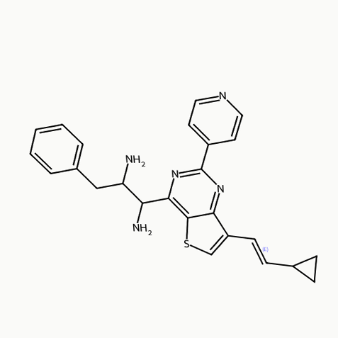 NC(Cc1ccccc1)C(N)c1nc(-c2ccncc2)nc2c(/C=C/C3CC3)csc12